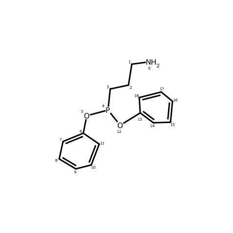 NCCCP(Oc1ccccc1)Oc1ccccc1